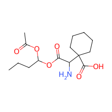 CCCC(OC(C)=O)OC(=O)C(N)C1(C(=O)O)CCCCC1